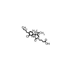 CCCCc1ccc(C2(C)NC(=O)N(CCCC(=O)O)C=C2C(C)C)cc1Cl